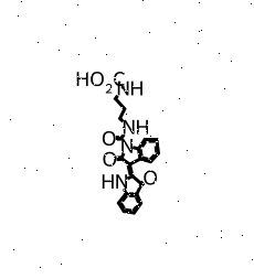 O=C(O)NCCCNC(=O)N1C(=O)/C(=C2\Nc3ccccc3C2=O)c2ccccc21